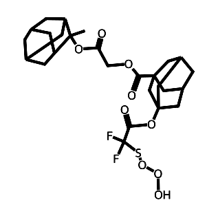 CC1(OC(=O)COC(=O)C23CC4CC(CC(OC(=O)C(F)(F)SOOO)(C4)C2)C3)C2CC3CC(C2)CC1C3